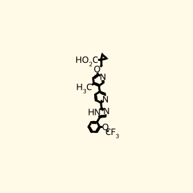 Cc1cc(OCC2(C(=O)O)CC2)ncc1-c1ccc(-c2ncc(-c3ccccc3OC(F)(F)F)[nH]2)nc1